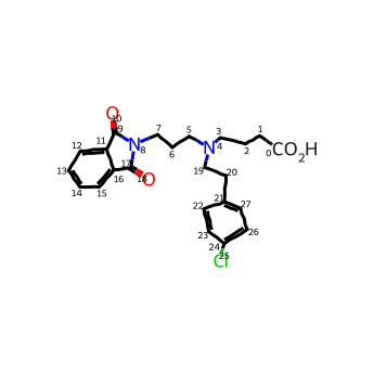 O=C(O)CCCN(CCCN1C(=O)c2ccccc2C1=O)CCc1ccc(Cl)cc1